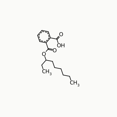 CCCCCCC(CC)OC(=O)c1ccccc1C(=O)O